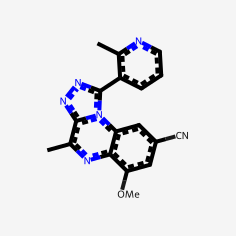 COc1cc(C#N)cc2c1nc(C)c1nnc(-c3cccnc3C)n12